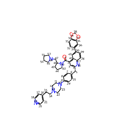 O=C(c1cc(Cc2ccc(N3CCN(CCc4ccncc4)CC3)cc2)nc2ccc(-c3ccc4c(c3)OCO4)cc12)N1CCCC1CN1CCCC1